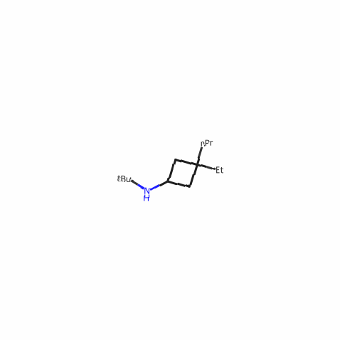 CCCC1(CC)CC(NC(C)(C)C)C1